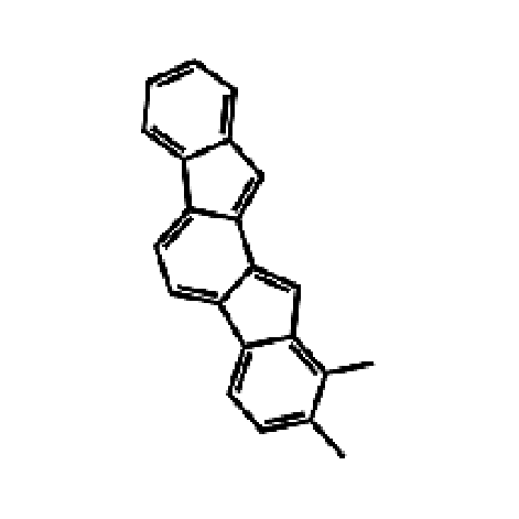 Cc1ccc2c(c1C)C=c1c-2ccc2c1=Cc1ccccc1-2